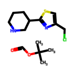 CC(C)(C)OC=O.ClCc1csc(C2CCCNC2)n1